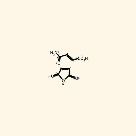 NC(=O)C=CC(=O)O.O=C1C=CC(=O)O1